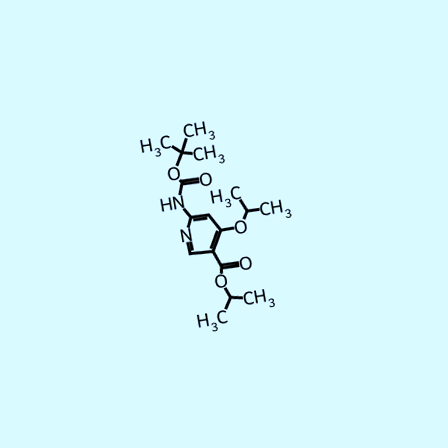 CC(C)OC(=O)c1cnc(NC(=O)OC(C)(C)C)cc1OC(C)C